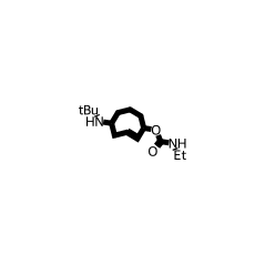 CCNC(=O)OC1/C=C/CC(NC(C)(C)C)CCC1